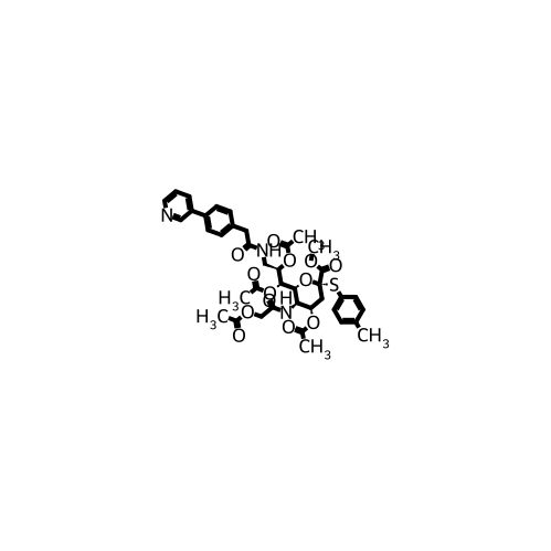 COC(=O)[C@@]1(Sc2ccc(C)cc2)C[C@H](OC(C)=O)[C@@H](NC(=O)COC(C)=O)[C@H]([C@H](OC(C)=O)[C@@H](CNC(=O)Cc2ccc(-c3cccnc3)cc2)OC(C)=O)O1